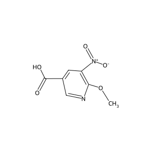 COc1ncc(C(=O)O)cc1[N+](=O)[O-]